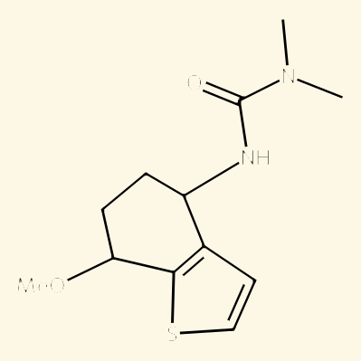 COC1CCC(NC(=O)N(C)C)c2ccsc21